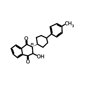 Cc1ccc(C2CCC([C@H]3C(=O)c4ccccc4C(=O)C3O)CC2)cc1